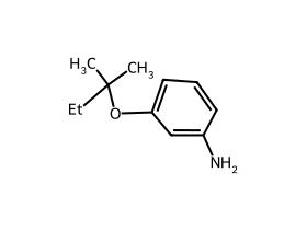 CCC(C)(C)Oc1cccc(N)c1